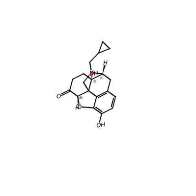 O=C1CC[C@@]2(O)[C@H]3Cc4ccc(O)c5c4C2(CN3CC2CC2)[C@H]1O5